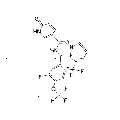 O=C(NC(c1ccc(OC(F)(F)F)c(F)c1)c1ncccc1C(F)(F)F)c1ccc(=O)[nH]c1